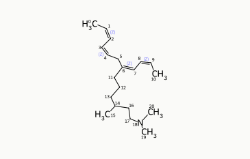 C/C=C\C=C/C/C(=C\C=C/C)CCCC(C)CCN(C)C